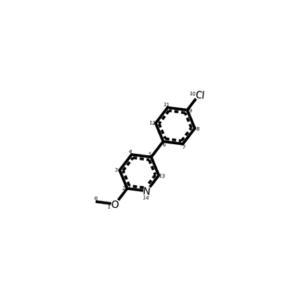 COc1ccc(-c2ccc(Cl)cc2)cn1